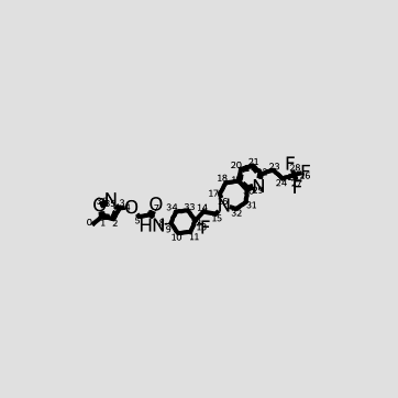 Cc1cc(OCC(=O)N[C@H]2CC[C@](F)(CCN3CCc4ccc(CCC(F)(F)F)nc4CC3)CC2)no1